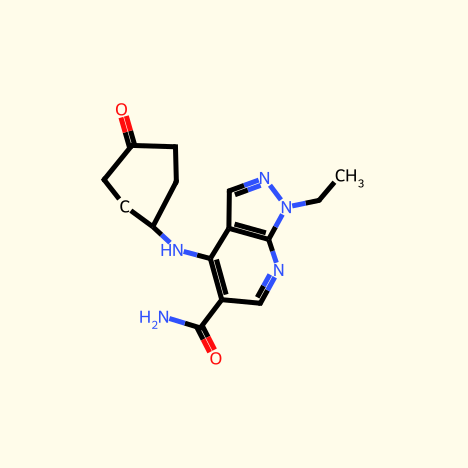 CCn1ncc2c(NC3CCC(=O)CC3)c(C(N)=O)cnc21